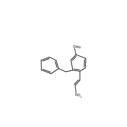 COc1ccc(C=C[N+](=O)[O-])c(Cc2ccccc2)c1